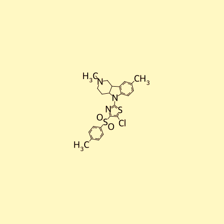 Cc1ccc(S(=O)(=O)c2nc(N3c4ccc(C)cc4C4CN(C)CCC43)sc2Cl)cc1